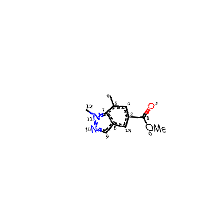 COC(=O)c1cc(C)c2c(cnn2C)c1